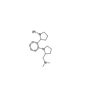 CC(C)N1CCCC1c1ccccc1N1CCCC1CN(C)C